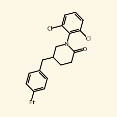 CCc1ccc(CC2CCC(=O)N(c3c(Cl)cccc3Cl)C2)cc1